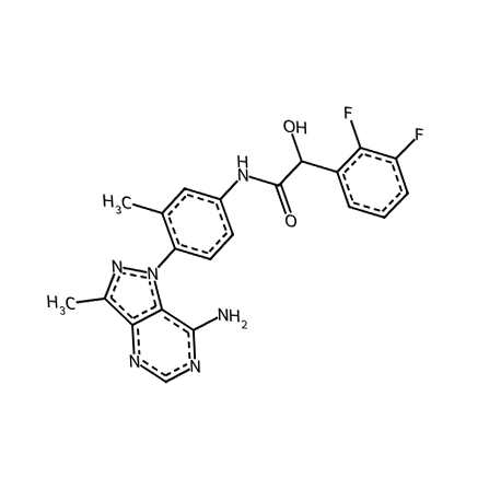 Cc1cc(NC(=O)C(O)c2cccc(F)c2F)ccc1-n1nc(C)c2ncnc(N)c21